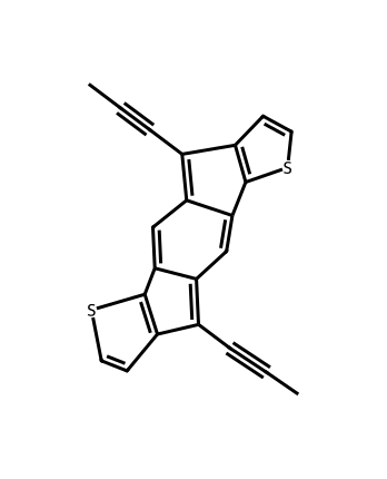 CC#CC1=c2cc3c(cc2-c2sccc21)=C(C#CC)c1ccsc1-3